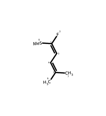 CS/C(F)=C\C=C(C)C